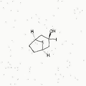 O[C@@]1(I)C[C@H]2CC[C@@H](C1)S2